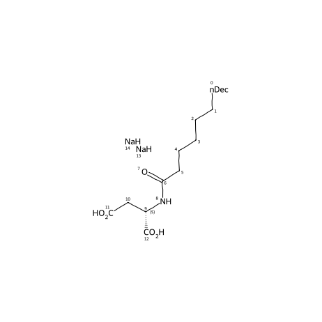 CCCCCCCCCCCCCCCC(=O)N[C@@H](CC(=O)O)C(=O)O.[NaH].[NaH]